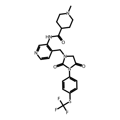 CN1CCC(C(=O)Nc2cnccc2CN2CC(=O)N(c3ccc(SC(F)(F)F)cc3)C2=O)CC1